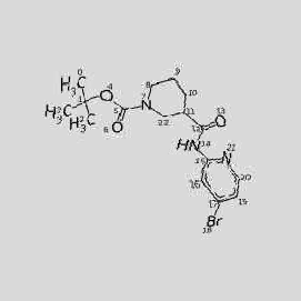 CC(C)(C)OC(=O)N1CCCC(C(=O)Nc2cc(Br)ccn2)C1